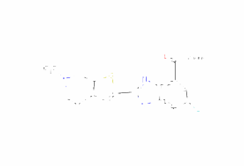 COC(=O)c1cc(F)cc2[nH]c(-c3cc4c(s3)CN(C(=O)O)CC4)nc12